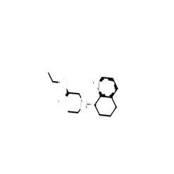 CCOC(=O)CN(CC)[C@@H]1CCCc2cccnc21